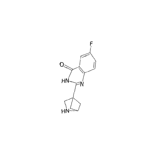 O=c1[nH]c(C23CNC(C2)C3)nc2ccc(F)cc12